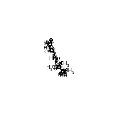 COc1cc(-c2cn(C)c(=O)c3[nH]ncc23)cc(OC)c1CNCC(=O)NCCCc1ccc(NC2CCC(=O)NC2=O)c(Cl)c1